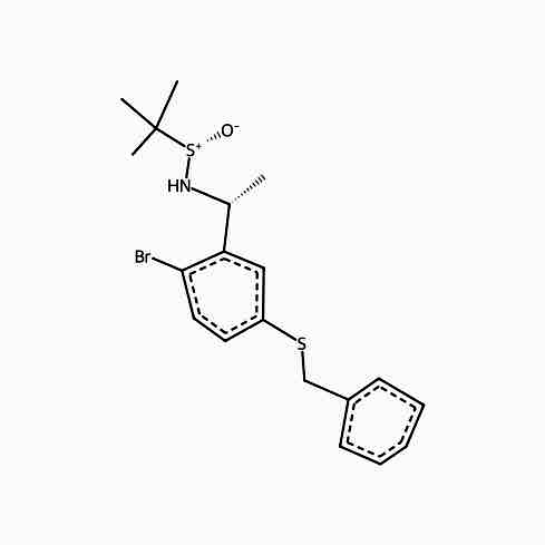 C[C@@H](N[S@@+]([O-])C(C)(C)C)c1cc(SCc2ccccc2)ccc1Br